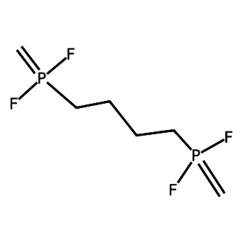 C=P(F)(F)CCCCP(=C)(F)F